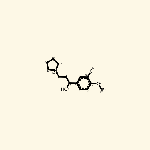 CC(C)Oc1ccc(C(O)CCN2CCCC2)cc1Cl